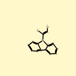 ClC=C(Cl)n1c2ccccc2c2ccccc21